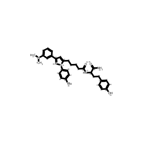 CN(C)c1cccc(-c2cc(CCCCC(=O)NC(CCc3ccc(O)cc3)C(N)=O)n(-c3ccc(C(C)(C)C)cc3)n2)c1